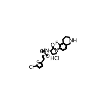 Cl.O=C1[C@@H](NS(=O)(=O)C=Cc2ccc(Cl)s2)CCN1c1ccc2c(c1F)CCCNC2